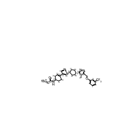 Cn1c(COc2cccc(C(F)(F)F)c2)nnc1[C@H]1CC[C@H](n2cc(C3=CCC(NC(=O)OC(C)(C)C)CC3)cn2)CC1